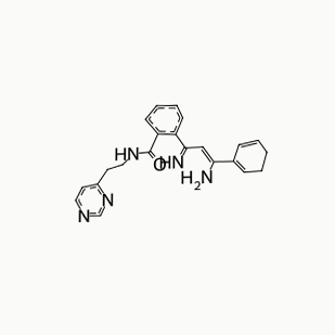 N=C(/C=C(\N)C1=CCCC=C1)c1ccccc1C(=O)NCCc1ccncn1